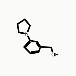 OCc1cccc(N2CCCC2)c1